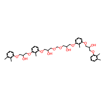 Cc1cccc(OCC(O)COc2cccc(OCC(O)COCOCC(O)COc3cccc(OCC(O)COc4cccc(C)c4C)c3C)c2C)c1C